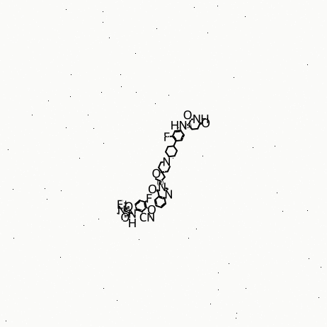 CCN(C)S(=O)(=O)Nc1ccc(F)c(Oc2ccc3ncn([C@H]4COC5(CCN(C6CCC(c7ccc(N[C@H]8CCC(=O)NC8=O)cc7F)CC6)CC5)C4)c(=O)c3c2)c1C#N